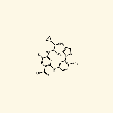 Cc1ncc(Nc2nc(N[C@H](C)[C@H](N)C3CC3)c(F)cc2C(N)=O)cc1-n1nccn1